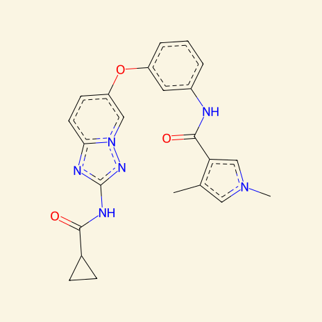 Cc1cn(C)cc1C(=O)Nc1cccc(Oc2ccc3nc(NC(=O)C4CC4)nn3c2)c1